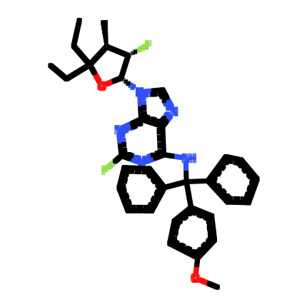 CCC1(CC)O[C@@H](n2cnc3c(NC(c4ccccc4)(c4ccccc4)c4ccc(OC)cc4)nc(F)nc32)[C@@H](F)[C@@H]1C